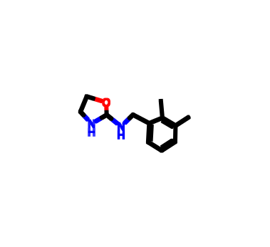 Cc1cccc(CNC2NCCO2)c1C